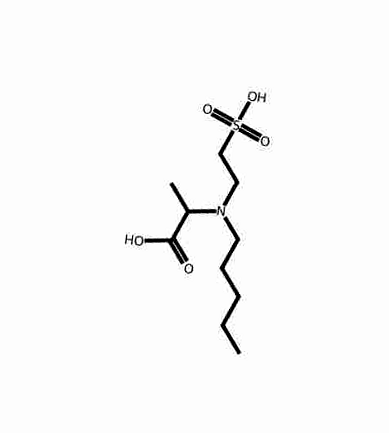 CCCCCN(CCS(=O)(=O)O)C(C)C(=O)O